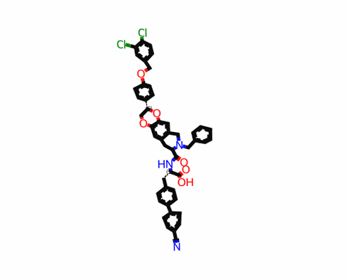 N#Cc1ccc(-c2ccc(C[C@H](NC(=O)C3Cc4cc5c(cc4CN3Cc3ccccc3)O[C@@H](c3ccc(OCc4ccc(Cl)c(Cl)c4)cc3)CO5)C(=O)O)cc2)cc1